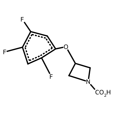 O=C(O)N1CC(Oc2cc(F)c(F)cc2F)C1